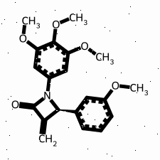 C=C1C(=O)N(c2cc(OC)c(OC)c(OC)c2)[C@H]1c1cccc(OC)c1